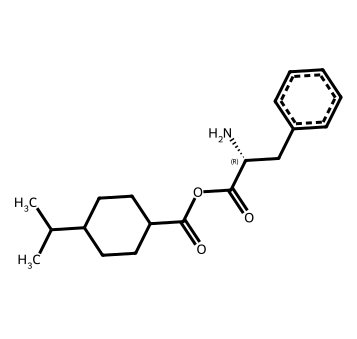 CC(C)C1CCC(C(=O)OC(=O)[C@H](N)Cc2ccccc2)CC1